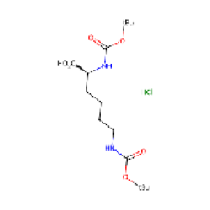 CC(C)(C)OC(=O)NCCCC[C@H](NC(=O)OC(C)(C)C)C(=O)O.Cl